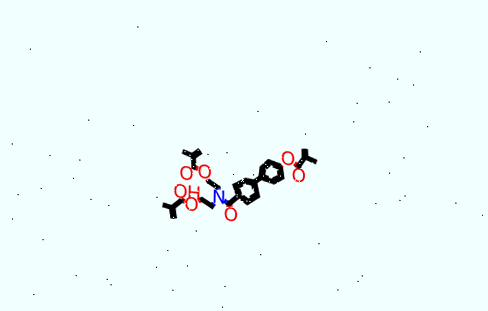 C=C(C)C(=O)OCCN(CCOC(O)C(=C)C)C(=O)c1ccc(-c2ccc(OC(=O)C(=C)C)cc2)cc1